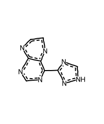 c1cnc2c(-c3nc[nH]n3)ncnc2n1